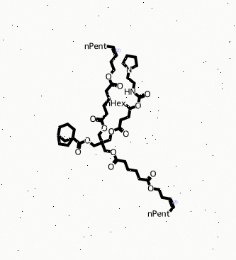 CCCCC/C=C\CCOC(=O)CCCCC(=O)OCC(COC(=O)CCCCC(=O)OCC/C=C\CCCCC)(COC(=O)CCC(CCCCCC)OC(=O)NCCN1CCCC1)COC(=O)C12CCCC(CC1)C2